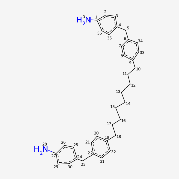 Nc1ccc(Cc2ccc(CCCCCCCCCc3ccc(Cc4ccc(N)cc4)cc3)cc2)cc1